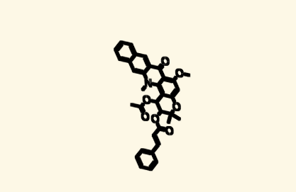 COc1cc2c(c3c1c(=O)c1cc4ccccc4cc1n3C)C(OC(C)=O)C(OC(=O)/C=C/c1ccccc1)C(C)(C)O2